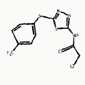 O=C(CCl)Nc1nnc(Sc2ccc(C(F)(F)F)cc2)s1